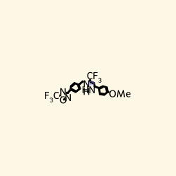 COc1ccc(C(=N)/C=C(\NCc2ccc(-c3noc(C(F)(F)F)n3)cc2)C(F)(F)F)cc1